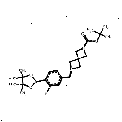 CC(C)(C)OC(=O)N1CC2(CN(Cc3ccc(B4OC(C)(C)C(C)(C)O4)c(F)c3)C2)C1